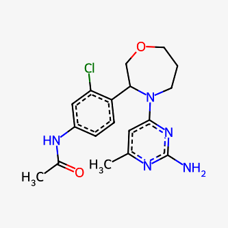 CC(=O)Nc1ccc(C2COCCCN2c2cc(C)nc(N)n2)c(Cl)c1